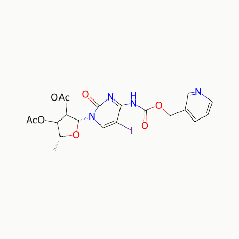 CC(=O)OC1C(OC(C)=O)[C@@H](C)O[C@H]1n1cc(I)c(NC(=O)OCc2cccnc2)nc1=O